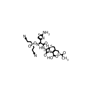 CC(=O)OCC1=C(C(=O)O)N2C(=O)[C@H](NC(=O)C(=NOP(=O)(CCC#N)CCC#N)c3csc(N)n3)[C@H]2SC1